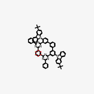 CC(C)(C)c1ccc2c(c1)c1ccccc1n2-c1cc(-c2cccc(-c3ccc(-n4c5ccccc5c5cc(C(C)(C)C)ccc54)c(-c4nc(-c5ccccc5)nc(-c5ccccc5)n4)c3)c2)cc(-c2nc(-c3ccccc3)nc(-c3ccccc3)n2)c1